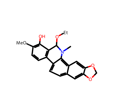 CCOC1c2c(ccc(OC)c2O)-c2ccc3cc4c(cc3c2N1C)OCO4